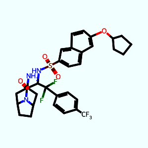 NC1CC2CCC(C1)N2C(=O)C(NS(=O)(=O)c1ccc2cc(OC3CCCC3)ccc2c1)C(F)(F)c1ccc(C(F)(F)F)cc1